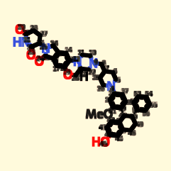 COc1cc(N2CCC(CN3CCN4c5cc6c(cc5OC[C@@H]4C3)C(=O)N(C3CCC(=O)NC3=O)C6)CC2)ccc1[C@H]1c2ccc(O)cc2CC[C@H]1c1ccccc1